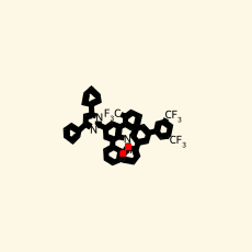 FC(F)(F)c1cc(-c2ccc3c(c2)c2ccccc2n3-c2c(-c3ccccc3C(F)(F)F)cc(-c3nc(-c4ccccc4)cc(-c4ccccc4)n3)cc2-c2ccccc2C(F)(F)F)cc(C(F)(F)F)c1